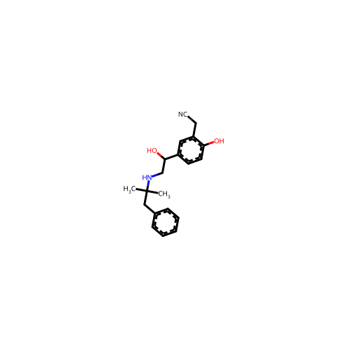 CC(C)(Cc1ccccc1)NCC(O)c1ccc(O)c(CC#N)c1